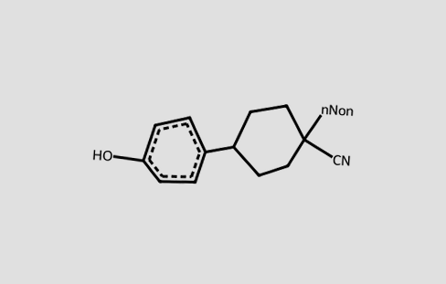 CCCCCCCCCC1(C#N)CCC(c2ccc(O)cc2)CC1